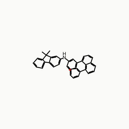 CC1(C)c2ccccc2-c2ccc(Nc3cccc(-c4cccc5cccc(-c6ccccc6)c45)c3)cc21